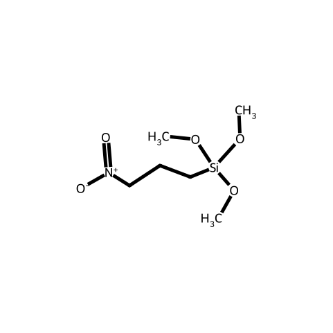 CO[Si](CCC[N+](=O)[O-])(OC)OC